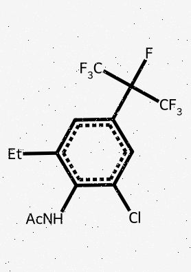 CCc1cc(C(F)(C(F)(F)F)C(F)(F)F)cc(Cl)c1NC(C)=O